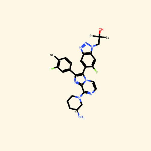 CCC(O)(CC)Cn1nnc2cc(-c3c(-c4ccc(C#N)c(F)c4)nc4c(N5CCC[C@H](N)C5)nccn34)c(F)cc21